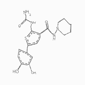 NC(=O)Nc1sc(-c2ccc(O)c(O)c2)cc1C(=O)NN1CCCCC1